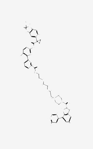 Cc1ccc(NC(=O)C2(c3ccc4c(c3)OC(F)(F)O4)CC2)nc1-c1cccc(C(=O)NCCOCCOCCN2CCN(C(=O)[C@H]3Cc4cc(Cl)cc(-c5ccnc(N)c5)c4O3)CC2)c1